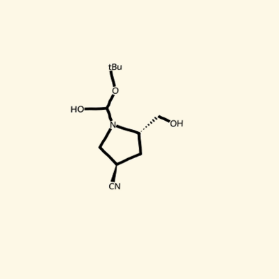 CC(C)(C)OC(O)N1C[C@H](C#N)C[C@H]1CO